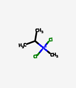 CC(C)[N+](C)(Cl)Cl